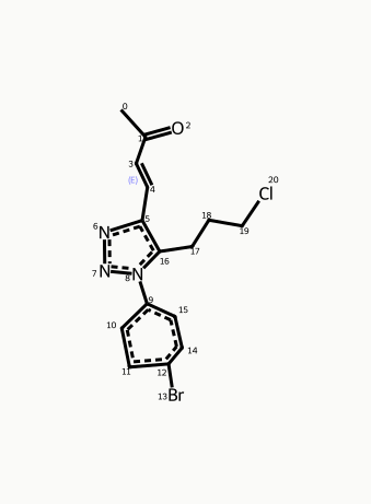 CC(=O)/C=C/c1nnn(-c2ccc(Br)cc2)c1CCCCl